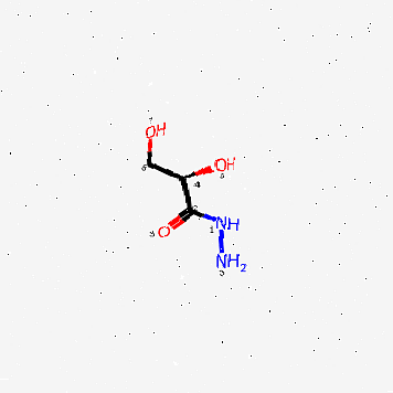 NNC(=O)[C@H](O)CO